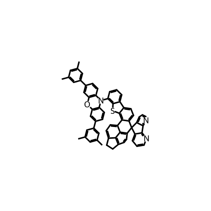 Cc1cc(C)cc(-c2ccc3c(c2)Oc2cc(-c4cc(C)cc(C)c4)ccc2N3c2cccc3c2sc2c4c(ccc23)C2(c3cccnc3-c3ncccc32)c2ccc3c5c(ccc-4c25)CC3)c1